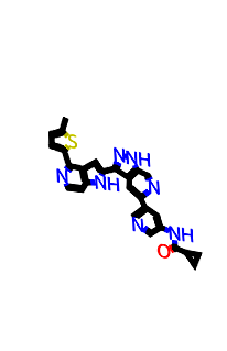 Cc1ccc(-c2nccc3[nH]c(-c4n[nH]c5cnc(-c6cncc(NC(=O)C7CC7)c6)cc45)cc23)s1